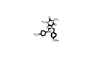 COc1ccc(Cn2c(NC3CCC(C)CC3)nc3c2c(=O)n(C)c(=O)n3C)cc1